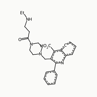 CCNCCC(=O)N1CCN(Cc2c(-c3ccccc3)nc3ccccc3c2C(=O)O)CC1